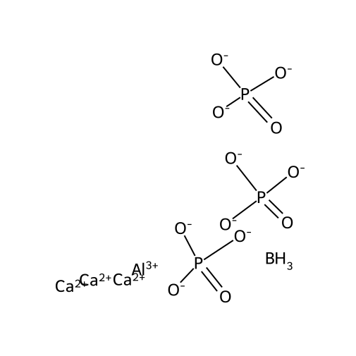 B.O=P([O-])([O-])[O-].O=P([O-])([O-])[O-].O=P([O-])([O-])[O-].[Al+3].[Ca+2].[Ca+2].[Ca+2]